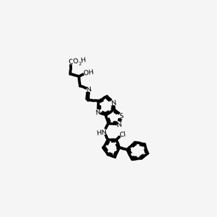 O=C(O)CC(O)CN=Cc1cnc2snc(Nc3cccc(-c4ccccc4)c3Cl)c2n1